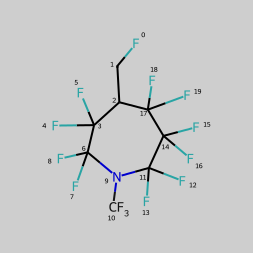 FCC1C(F)(F)C(F)(F)N(C(F)(F)F)C(F)(F)C(F)(F)C1(F)F